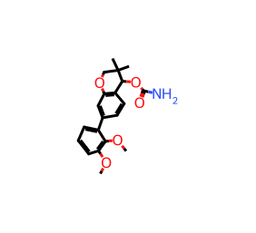 COc1cccc(-c2ccc3c(c2)OCC(C)(C)C3OC(N)=O)c1OC